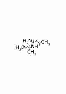 CCCC(N)NC(C)CC